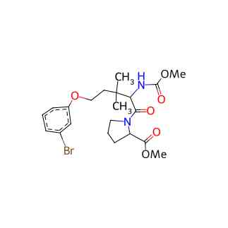 COC(=O)NC(C(=O)N1CCCC1C(=O)OC)C(C)(C)CCOc1cccc(Br)c1